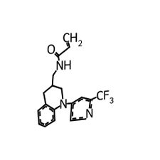 C=CC(=O)NCC1Cc2ccccc2N(c2ccnc(C(F)(F)F)c2)C1